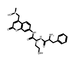 CSCC[C@H](NC(=O)C(N)Cc1ccccc1)C(=O)Nc1ccc2c(CP(C)O)cc(=O)oc2c1